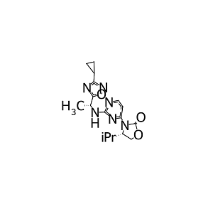 CC(C)[C@H]1COC(=O)N1c1ccnc(N[C@H](C)c2nc(C3CC3)no2)n1